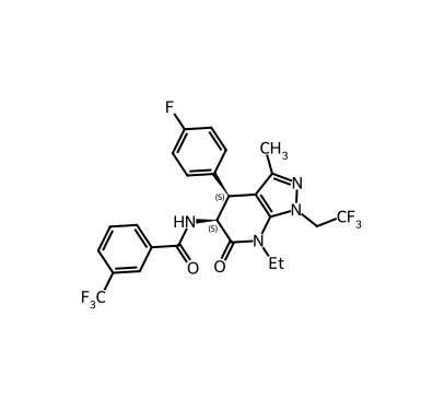 CCN1C(=O)[C@@H](NC(=O)c2cccc(C(F)(F)F)c2)[C@@H](c2ccc(F)cc2)c2c(C)nn(CC(F)(F)F)c21